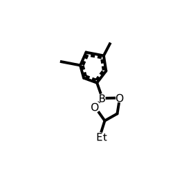 CCC1COB(c2cc(C)cc(C)c2)O1